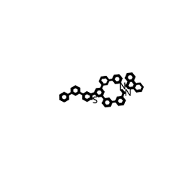 C1=CC(c2ccccc2)CC(c2cc(-c3cccc(-c4cccc(-c5cnc6c(n5)c5c(c7ccccc76)CCC=C5)c4)c3)c3sc4ccc(-c5cccc(-c6ccccc6)c5)cc4c3c2)=C1